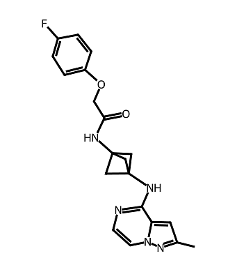 Cc1cc2c(NC34CC(NC(=O)COc5ccc(F)cc5)(C3)C4)nccn2n1